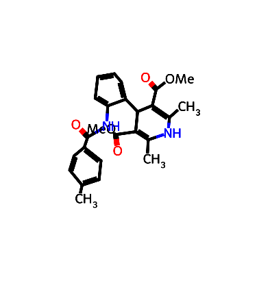 COC(=O)C1=C(C)NC(C)=C(C(=O)OC)C1c1ccccc1NC(=O)c1ccc(C)cc1